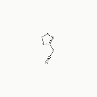 N#COC1=NCCO1